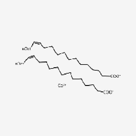 CCCCCCCC/C=C\CCCCCCCCCCCC(=O)[O-].CCCCCCCC/C=C\CCCCCCCCCCCC(=O)[O-].[Ca+2]